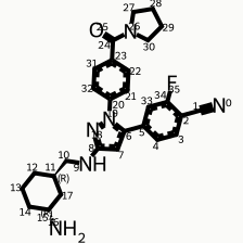 N#Cc1ccc(-c2cc(NC[C@@H]3CCC[C@@H](N)C3)nn2-c2ccc(C(=O)N3CCCC3)cc2)cc1F